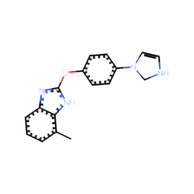 Cc1cccc2nc(Oc3ccc(N4C=CNC4)cc3)[nH]c12